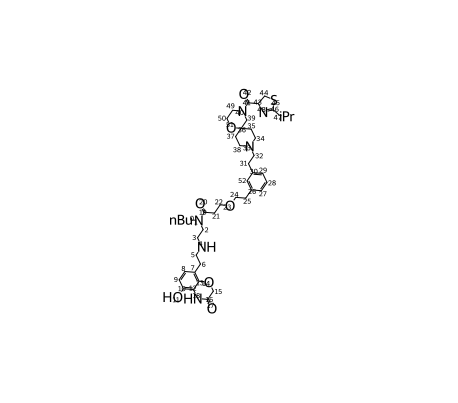 CCCCN(CCNCCc1ccc(O)c2c1OCC(=O)N2)C(=O)CCOCCc1cccc(CCN2CCC3(CC2)CN(C(=O)C2CSC(C(C)C)=N2)CCO3)c1